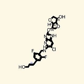 OC/C=C/c1cc(F)c(CNc2nc3nc(O[C@@H]4COC5[C@H](O)CO[C@@H]54)[nH]c3cc2Cl)c(F)c1